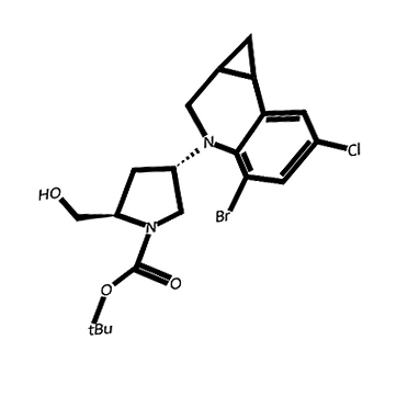 CC(C)(C)OC(=O)N1C[C@@H](N2CC3CC3c3cc(Cl)cc(Br)c32)C[C@@H]1CO